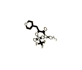 COC(=O)C(CC1CCOCC1)OS(=O)(=O)C(F)(F)F